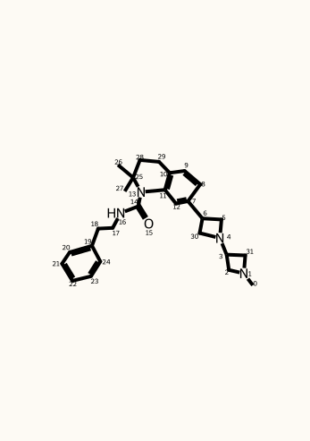 CN1CC(N2CC(c3ccc4c(c3)N(C(=O)NCCc3ccccc3)C(C)(C)CC4)C2)C1